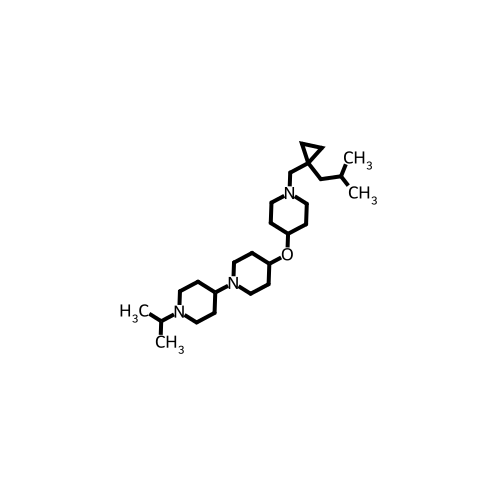 CC(C)CC1(CN2CCC(OC3CCN(C4CCN(C(C)C)CC4)CC3)CC2)CC1